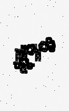 CNc1nc2cnc(Nc3ccc4c(c3)OCCO4)cc2n1-c1cc(OC)c(OC)c(OC)c1